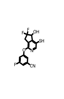 N#Cc1cc(F)cc(Oc2ncc(S)c3c2CC(F)(F)C3O)c1